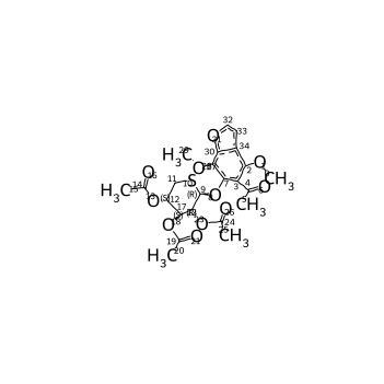 COc1c(C(C)=O)c(O[C@@H]2SC[C@@H](OC(C)=O)[C@H](OC(C)=O)[C@H]2OC(C)=O)c(OC)c2occc12